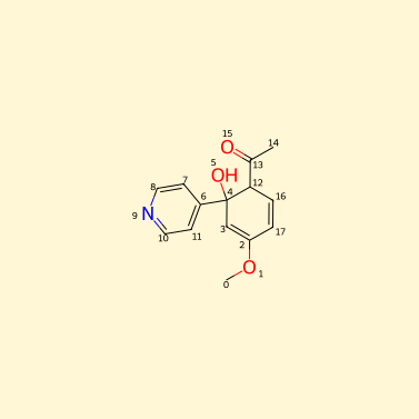 COC1=CC(O)(c2ccncc2)C(C(C)=O)C=C1